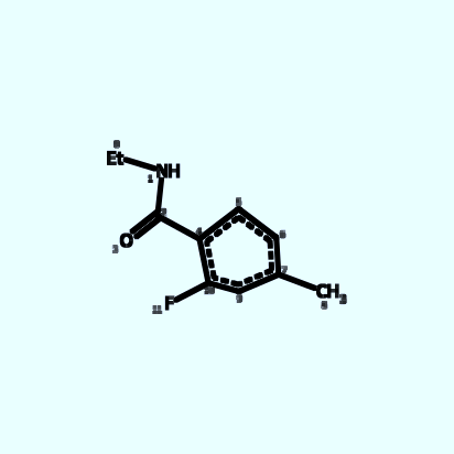 CCNC(=O)c1ccc(C)cc1F